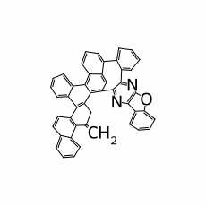 C=C1Cc2c(c3ccccc3c3c4cccc5c6ccccc6c6nc7oc8ccccc8c7nc6c(cc54)c23)-c2ccc3ccccc3c21